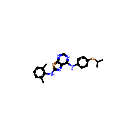 Cc1cccc(C)c1Nc1nc2c(Nc3ccc(SC(C)C)cc3)ncnc2s1